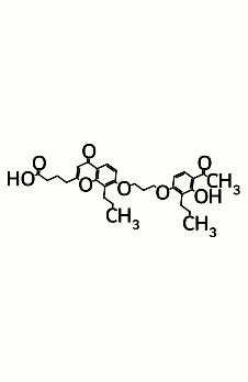 CCCc1c(OCCCOc2ccc3c(=O)cc(CCCC(=O)O)oc3c2CCC)ccc(C(C)=O)c1O